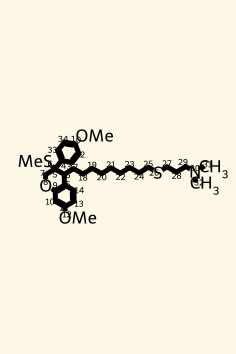 COc1ccc(C2(SC)COc3cc(OC)ccc3C2CCCCCCCCCSCCCN(C)C)cc1